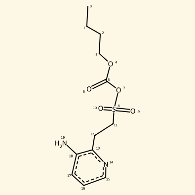 CCCCOC(=O)OS(=O)(=O)CCc1ncccc1N